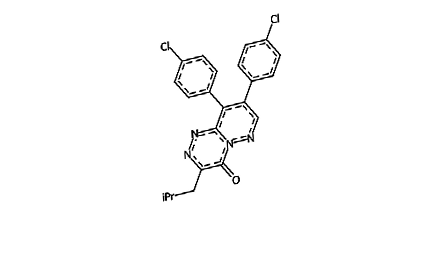 CC(C)Cc1nnc2c(-c3ccc(Cl)cc3)c(-c3ccc(Cl)cc3)cnn2c1=O